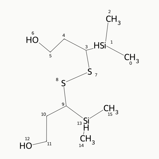 C[SiH](C)C(CCO)SSC(CCO)[SiH](C)C